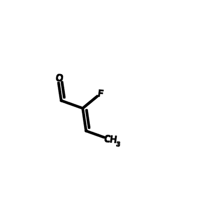 C/C=C(\F)C=O